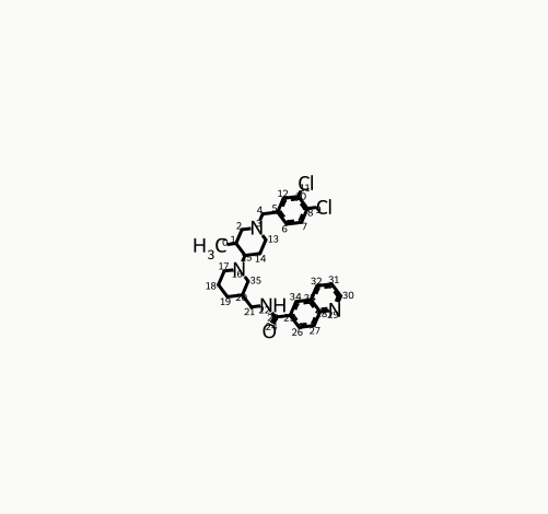 CC1CN(Cc2ccc(Cl)c(Cl)c2)CCC1N1CCCC(CNC(=O)c2ccc3ncccc3c2)C1